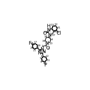 O=C(Cn1nc(-c2ccc(F)cc2)nc1-c1ccc(F)cc1)N1CCC(N2Cc3c(Cl)cccc3NC2=O)CC1